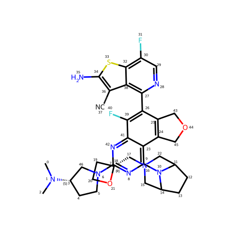 CN(C)[C@H]1CCN(c2nc(N3C4CCC3CN(C[C@H]3CCO3)C4)c3c4c(c(-c5ncc(F)c6sc(N)c(C#N)c56)c(F)c3n2)COC4)C1